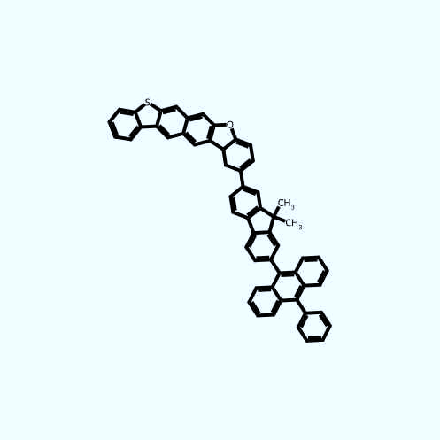 CC1(C)c2cc(C3=CC=C4Oc5cc6cc7sc8ccccc8c7cc6cc5C4C3)ccc2-c2ccc(-c3c4ccccc4c(-c4ccccc4)c4ccccc34)cc21